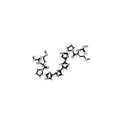 COCC[C@H](NC(=O)O)C(=O)N1CCC[C@H]1c1nc(-c2ncc(-c3cnc(-c4c[nH]c([C@@H]5CCCN5C(=O)[C@H](CCOC)NC(=O)OC)n4)s3)s2)c[nH]1